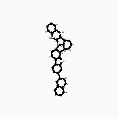 c1ccc2cc(-c3ccc4c(c3)oc3c4ccc4c3c3cccc5c6nc7ccccc7nc6n4c53)ccc2c1